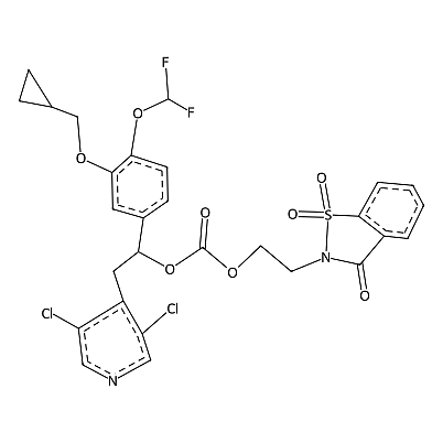 O=C(OCCN1C(=O)c2ccccc2S1(=O)=O)OC(Cc1c(Cl)cncc1Cl)c1ccc(OC(F)F)c(OCC2CC2)c1